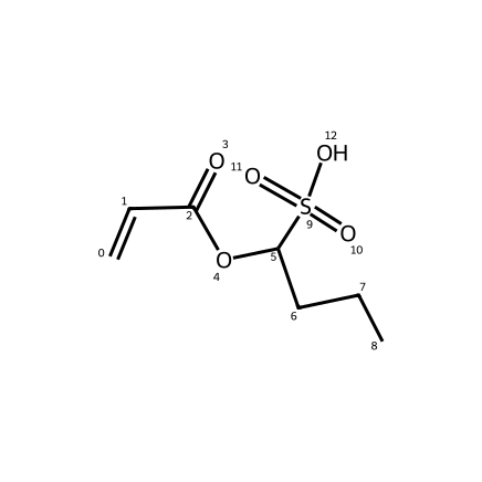 C=CC(=O)OC(CCC)S(=O)(=O)O